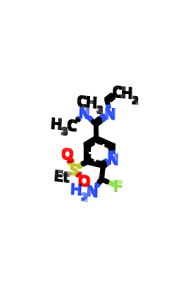 C=C/N=C(/c1cnc(C(N)F)c(S(=O)(=O)CC)c1)N(C)C